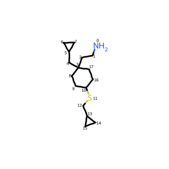 NCCC1(CC2CC2)CCC(SCC2CC2)CC1